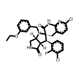 CCOc1cccc(CN2[C@H]3CNC(=O)[C@H]3[C@H](c3cccc(Cl)c3F)[C@@]23Cc2ccc(Cl)nc2NC3=O)c1